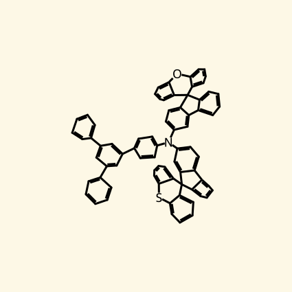 c1ccc(-c2cc(-c3ccccc3)cc(-c3ccc(N(c4ccc5c(c4)-c4ccccc4C54c5ccccc5Oc5ccccc54)c4ccc5c(c4)C4(c6ccccc6Sc6ccccc64)c4ccccc4-5)cc3)c2)cc1